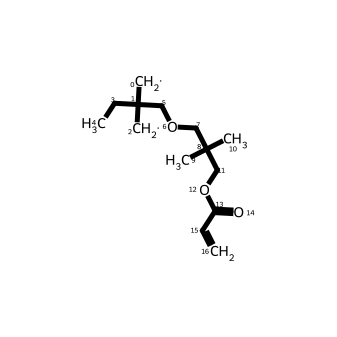 [CH2]C([CH2])(CC)COCC(C)(C)COC(=O)C=C